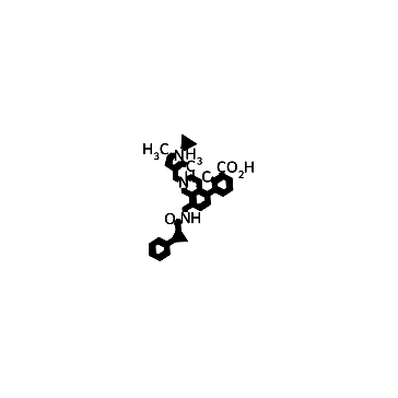 Cc1c(C(=O)O)cccc1-c1ccc(CNC(=O)C2CC2c2ccccc2)c2c1CCN(Cc1cc(C)n(C3CC3)c1C)C2